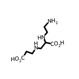 NCCNC(CNCCC(=O)O)C(=O)O